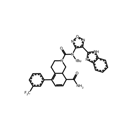 CC(C)(C)N(C(=O)N1CCC2=C(c3cccc(C(F)(F)F)c3)C=CC(C(N)=O)C2C1)c1nonc1-c1nc2ccccc2[nH]1